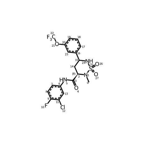 CN1[C@@H](C(=O)Nc2ccc(F)c(Cl)c2)CC(c2cccc(OC(F)(F)F)c2)NS1(=O)=O